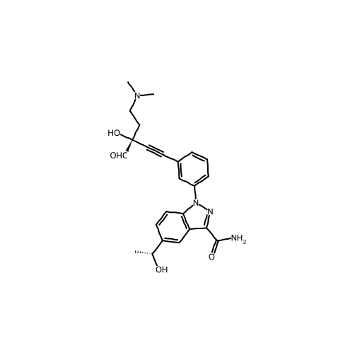 C[C@@H](O)c1ccc2c(c1)c(C(N)=O)nn2-c1cccc(C#C[C@@](O)(C=O)CCN(C)C)c1